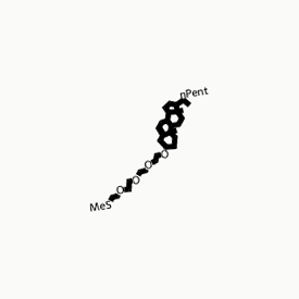 CCCCCC(C)C1CCC2C3CC=C4C[C@@H](OCCOCCOCCOCCSC)CCC4(C)C3CCC12C